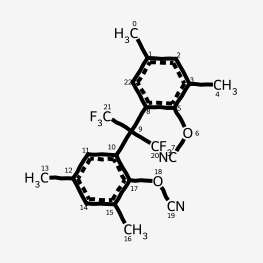 Cc1cc(C)c(OC#N)c(C(c2cc(C)cc(C)c2OC#N)(C(F)(F)F)C(F)(F)F)c1